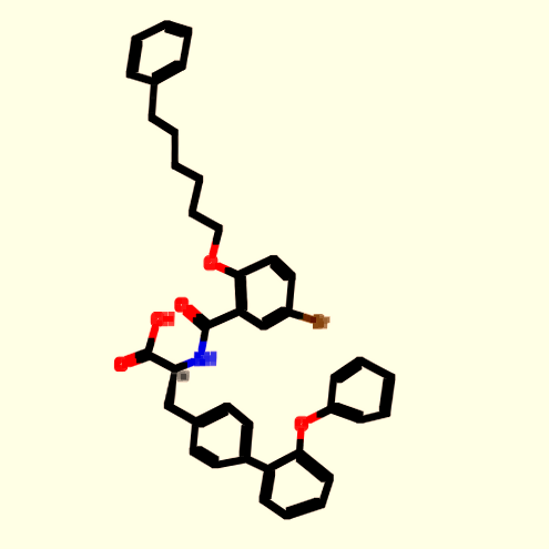 O=C(N[C@@H](Cc1ccc(-c2ccccc2Oc2ccccc2)cc1)C(=O)O)c1cc(Br)ccc1OCCCCCCc1ccccc1